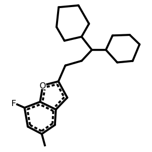 Cc1cc(F)c2oc(CCC(C3CCCCC3)C3CCCCC3)cc2c1